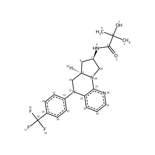 CC(C)(O)C(=O)N[C@@H]1C[C@@H]2CN(c3ccc(C(F)(F)F)cc3)c3cccnc3N2C1